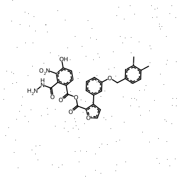 Cc1ccc(COc2cccc(-c3ccoc3C(=O)OC(=O)c3ccc(O)c([N+](=O)[O-])c3C(=O)NN)c2)cc1C